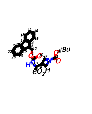 CC(C)(C)OC(=O)N1CC(C(NC(=O)OCC2c3ccccc3-c3ccccc32)C(=O)O)C1